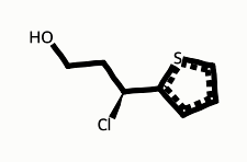 OCC[C@H](Cl)c1cccs1